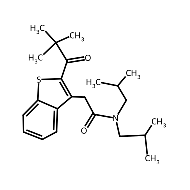 CC(C)CN(CC(C)C)C(=O)Cc1c(C(=O)C(C)(C)C)sc2ccccc12